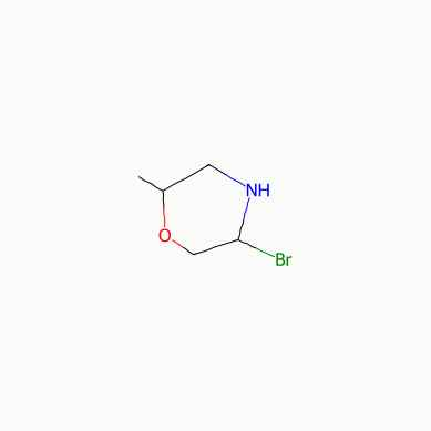 CC1CNC(Br)CO1